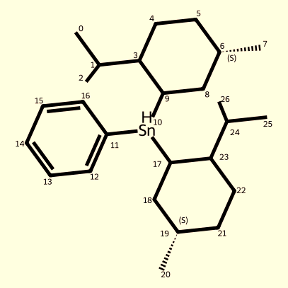 CC(C)C1CC[C@H](C)C[CH]1[SnH]([c]1ccccc1)[CH]1C[C@@H](C)CCC1C(C)C